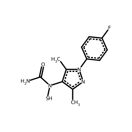 Cc1nn(-c2ccc(F)cc2)c(C)c1N(S)C(N)=O